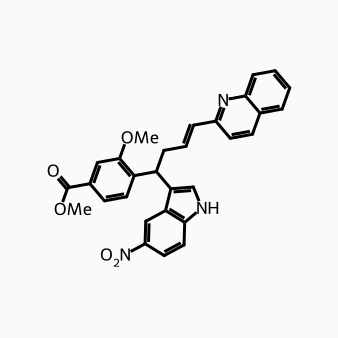 COC(=O)c1ccc(C(C/C=C/c2ccc3ccccc3n2)c2c[nH]c3ccc([N+](=O)[O-])cc23)c(OC)c1